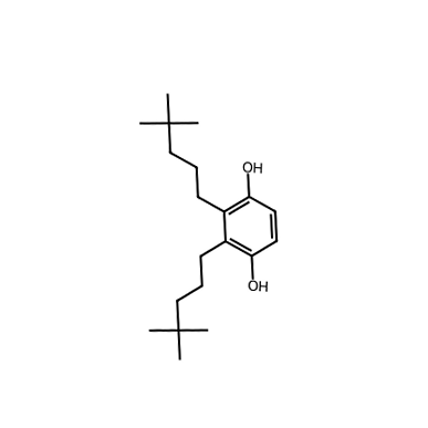 CC(C)(C)CCCc1c(O)ccc(O)c1CCCC(C)(C)C